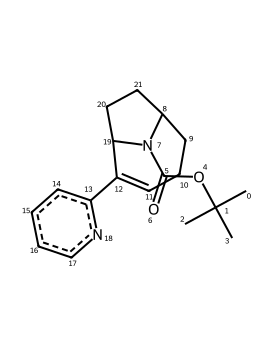 CC(C)(C)OC(=O)N1C2CCC=C(c3ccccn3)C1CC2